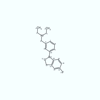 CCN(CC)Cc1cccc(B2OCc3cc(F)ccc32)c1